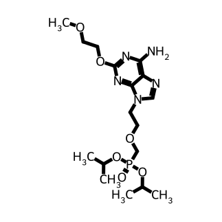 COCCOc1nc(N)c2ncn(CCOCP(=O)(OC(C)C)OC(C)C)c2n1